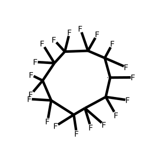 F[C]1C(F)(F)C(F)(F)C(F)(F)C(F)(F)C(F)(F)C(F)(F)C(F)(F)C(F)(F)C1(F)F